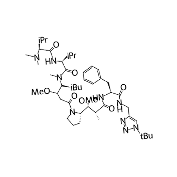 CC[C@H](C)C(C(CC(=O)N1CCC[C@H]1[C@H](OC)[C@@H](C)C(=O)N[C@@H](Cc1ccccc1)C(=O)NCc1cn(C(C)(C)C)nn1)OC)N(C)C(=O)[C@@H](NC(=O)[C@H](C(C)C)N(C)C)C(C)C